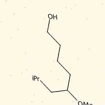 COC(CCCCO)CC(C)C